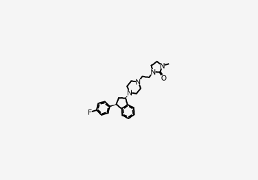 CN1CCN(CCN2CCN([C@H]3C[C@H](c4ccc(F)cc4)c4ccccc43)CC2)C1=O